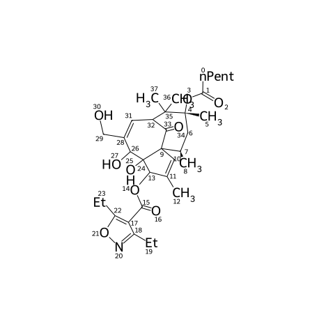 CCCCCC(=O)O[C@]1(C)C[C@@H](C)C23C=C(C)C(OC(=O)c4c(CC)noc4CC)C2(O)C(O)C(CO)=CC(C3=O)C1(C)C